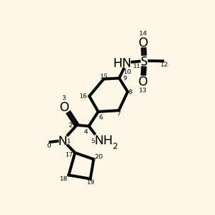 CN(C(=O)C(N)C1CCC(NS(C)(=O)=O)CC1)C1CCC1